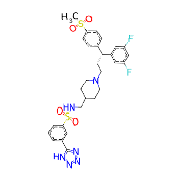 CS(=O)(=O)c1ccc([C@@H](CCN2CCC(CNS(=O)(=O)c3cccc(-c4nnn[nH]4)c3)CC2)c2cc(F)cc(F)c2)cc1